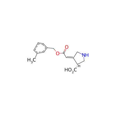 Cc1cccc(COC(=O)C=C2CNC[C@@H]2C(=O)O)c1